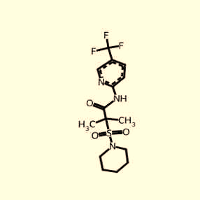 CC(C)(C(=O)Nc1ccc(C(F)(F)F)cn1)S(=O)(=O)N1CCCCC1